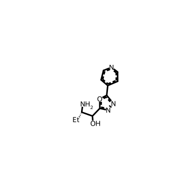 CC[C@H](N)C(O)c1nnc(-c2ccncc2)o1